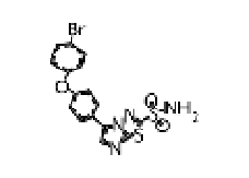 NS(=O)(=O)c1nn2c(-c3ccc(Oc4ccc(Br)cc4)cc3)cnc2s1